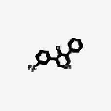 O=c1c(-c2ccccc2)c[nH]cc1-c1cccc(C(F)(F)F)c1